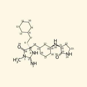 CN1C(=N)N[C@](CCC2CCCCC2)(CC2CCC[C@H](N[C@H]3CCNC3=O)C2)C1=O